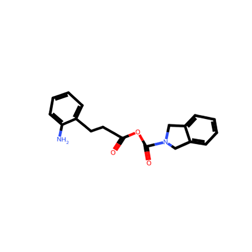 Nc1ccccc1CCC(=O)OC(=O)N1Cc2ccccc2C1